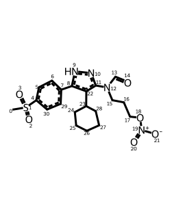 CS(=O)(=O)c1ccc(-c2[nH]nc(N(C=O)CCCO[N+](=O)[O-])c2C2CCCCC2)cc1